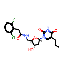 CCCc1cn([C@H]2C[C@H](O)[C@@H](CNC(=O)Cc3c(Cl)cccc3Cl)O2)c(=O)[nH]c1=O